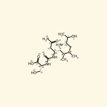 CC(O)[C@@H](N)CN(C)N(C)C[C@@H](CC(N)=O)NC(=S)N[C@H](CO)C(=O)O